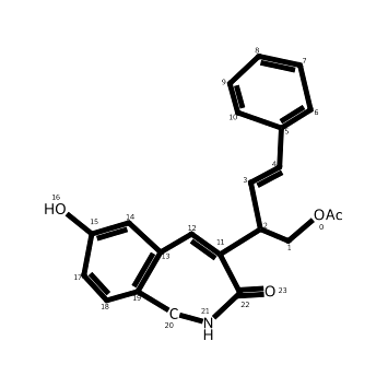 CC(=O)OCC(C=Cc1ccccc1)C1=Cc2cc(O)ccc2CNC1=O